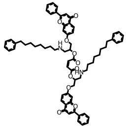 O=C(/C=C\C(=O)OC(CNCCCCCCCCc1ccccc1)COc1ccc2c(=O)cc(-c3ccccc3)oc2c1)OC(CNCCCCCCCCc1ccccc1)COc1ccc2c(=O)cc(-c3ccccc3)oc2c1